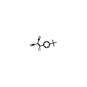 CC(C)(C)c1ccc(C(Cl)=C(C#N)C#N)cc1